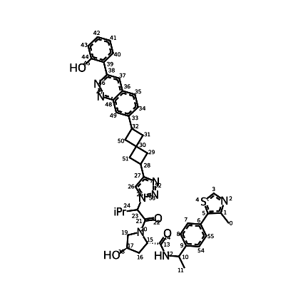 Cc1ncsc1-c1ccc(C(C)NC(=O)[C@@H]2C[C@@H](O)CN2C(=O)C(C(C)C)n2cc(C3CC4(CC(c5ccc6cc(-c7ccccc7O)nnc6c5)C4)C3)nn2)cc1